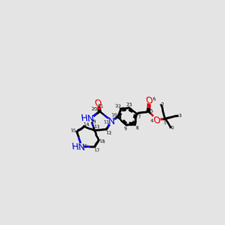 CC(C)(C)OC(=O)c1ccc(N2CC3(CCNCC3)NC2=O)cc1